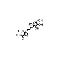 NC(=O)c1ncn(CCCC[C@@]2(O)O[C@H](CO)[C@@H](O)[C@H]2O)c1N